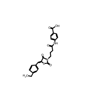 CCc1ccc(/C=C2\SC(=O)N(CCCC(=O)Nc3ccc(C(=O)O)cc3)C2=O)cc1